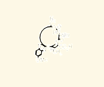 COc1ccc2nc3c(nc2c1)O[C@H]1CN(C(=O)[C@H](C(C)(C)C)NC(=O)OC(C)CCCCCC3)[C@H](C(=O)O)[C@@H]1C